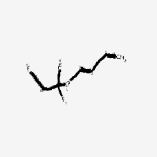 C=C/C=C/OC(F)(F)CF